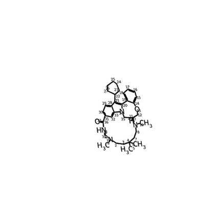 CN1CCC(C)(C)CCN(C)[C@H]2COc3ccccc3-c3c(C4CCCCC4)c4ccc(cc4n3C2)C(=O)NS1